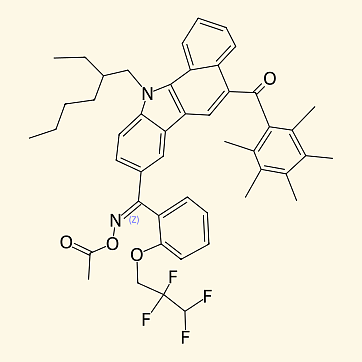 CCCCC(CC)Cn1c2ccc(/C(=N/OC(C)=O)c3ccccc3OCC(F)(F)C(F)F)cc2c2cc(C(=O)c3c(C)c(C)c(C)c(C)c3C)c3ccccc3c21